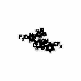 CC1(S(=O)(=O)c2cccc(C(F)(F)F)c2)CCOC(c2cc(C(F)(F)F)nn2C2CS(=O)(=O)C2)C1